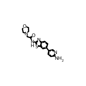 Nc1ccc(-c2ccc3nc(NC(=O)CN4CCOCC4)sc3c2)cn1